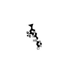 CS(=O)(=O)c1cc(C2CC2)cn2cc(CNc3cc(Cl)ncn3)nc12